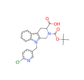 CC(C)(C)OC(=O)N1Cc2c(c3ccccc3n2Cc2ccc(Cl)nc2)CC1C(=O)O